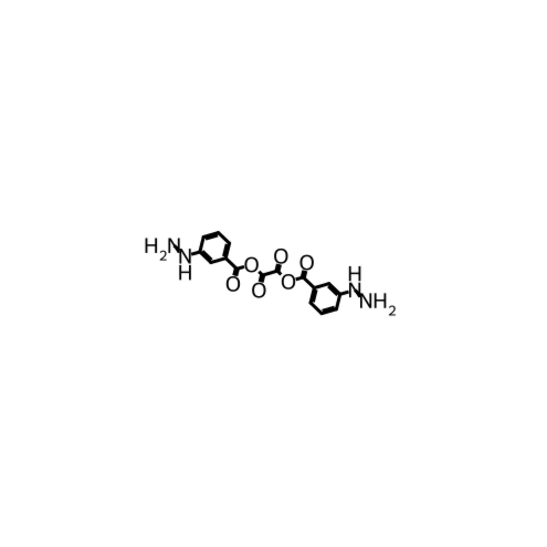 NNc1cccc(C(=O)OC(=O)C(=O)OC(=O)c2cccc(NN)c2)c1